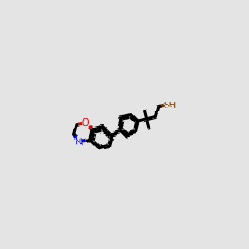 CC(C)(CCS)c1ccc(-c2ccc3c(c2)OCC=N3)cc1